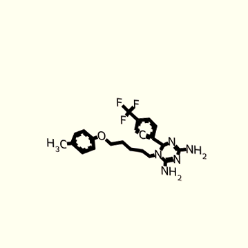 Cc1ccc(OCCCCCN2C(N)=NC(N)=NC2c2ccc(C(F)(F)F)cc2)cc1